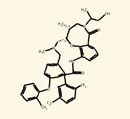 Cc1ccccc1Oc1ccc(CN(C)C[C@H]2Oc3c(NC(=O)Cc4cc(C(F)(F)F)ccc4C(F)(F)F)cccc3C(=O)N(C(C)CO)C[C@H]2C)cc1